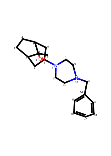 CC1(O)C2CCC1CC(N1CCN(Cc3ccccc3)CC1)C2